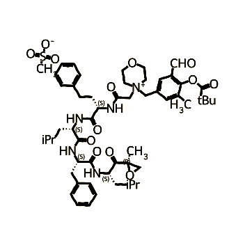 CS(=O)(=O)[O-].Cc1cc(C[N+]2(CC(=O)N[C@@H](CCc3ccccc3)C(=O)N[C@@H](CC(C)C)C(=O)N[C@@H](Cc3ccccc3)C(=O)N[C@@H](CC(C)C)C(=O)[C@@]3(C)CO3)CCOCC2)cc(C=O)c1OC(=O)C(C)(C)C